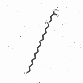 COC(=O)CCNCCCCCCCCCCCCCCCC(C)C